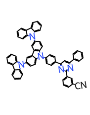 N#Cc1cccc(-c2nc(-c3ccccc3)cc(-c3ccc(-n4c5ccc(-n6c7ccccc7c7ccccc76)cc5c5cc(-n6c7ccccc7c7ccccc76)ccc54)cc3)n2)c1